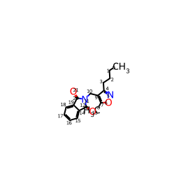 CCCCc1noc(C)c1CN1C(=O)c2ccccc2C1=O